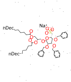 CCCCCCCCCCCCCCCC(=O)OCC(CO[C@H]1O[C@H](CS(=O)(=O)[O-])[C@H](OCc2ccccc2)[C@H](OCc2ccccc2)[C@H]1OCc1ccccc1)OC(=O)CCCCCCCCCCCCCCC.[Na+]